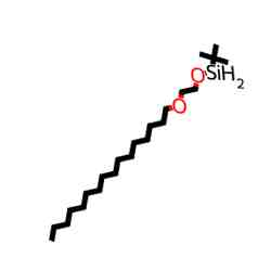 CCCCCCCCCCCCCCCCOCCO[SiH2]C(C)(C)C